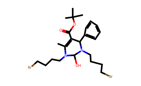 CC1=C(C(=O)OC(C)(C)C)C(c2ccccc2)N(CCCCBr)C(O)N1CCCCBr